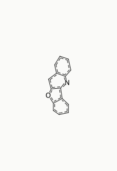 c1ccc2nc3c(cc2c1)oc1ccccc13